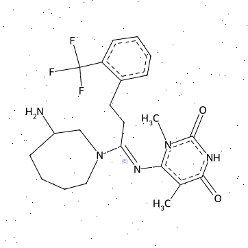 Cc1c(/N=C(\CCc2ccccc2C(F)(F)F)N2CCCCC(N)C2)n(C)c(=O)[nH]c1=O